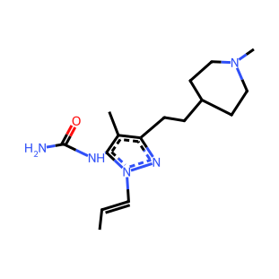 C/C=C/n1nc(CCC2CCN(C)CC2)c(C)c1NC(N)=O